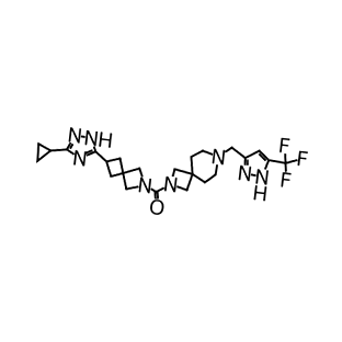 O=C(N1CC2(CCN(Cc3cc(C(F)(F)F)[nH]n3)CC2)C1)N1CC2(CC(c3nc(C4CC4)n[nH]3)C2)C1